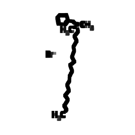 CCCCCCCCCCCCCCCCCC[P+](C)(C)Cc1ccccc1.[Br-]